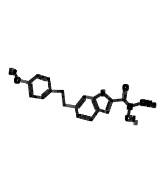 CCOc1ccc(CCc2ccc3cc(C(=O)N(C)OC)sc3c2)cc1